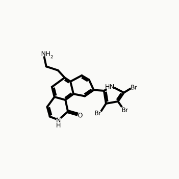 NCCc1cc2cc[nH]c(=O)c2c2cc(-c3[nH]c(Br)c(Br)c3Br)ccc12